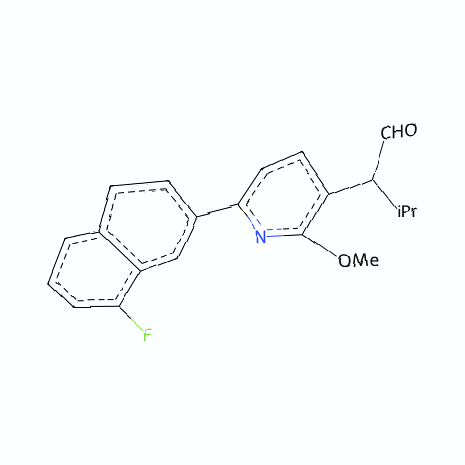 COc1nc(-c2ccc3cccc(F)c3c2)ccc1C(C=O)C(C)C